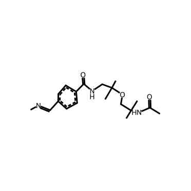 C/N=C/c1ccc(C(=O)NCC(C)(C)OCC(C)(C)NC(C)=O)cc1